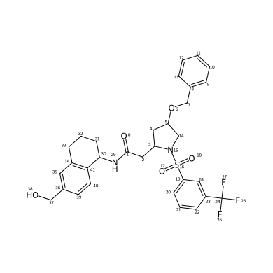 O=C(CC1CC(OCc2ccccc2)CN1S(=O)(=O)c1cccc(C(F)(F)F)c1)NC1CCCc2cc(CO)ccc21